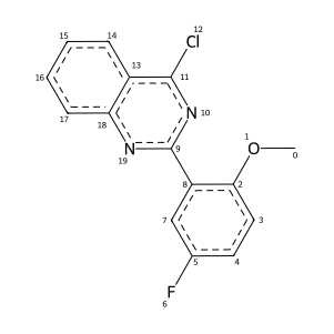 COc1ccc(F)cc1-c1nc(Cl)c2ccccc2n1